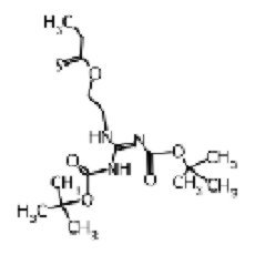 CCC(=S)OCCNC(=NC(=O)OC(C)(C)C)NC(=O)OC(C)(C)C